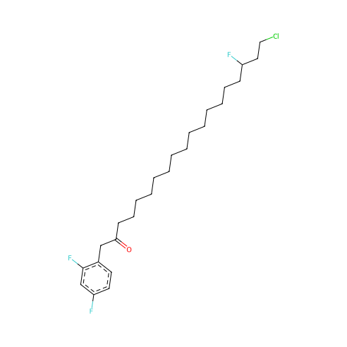 O=C(CCCCCCCCCCCCCCC(F)CCCl)Cc1ccc(F)cc1F